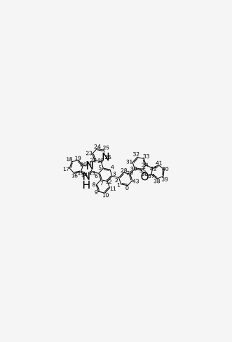 c1cc(-c2cc3c(c4ccccc24)C2Nc4ccccc4N2c2cccnc2-3)cc(-c2cccc3c2oc2ccccc23)c1